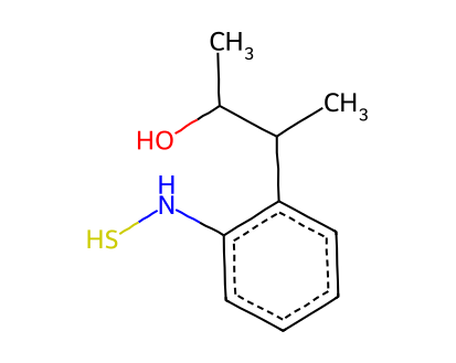 CC(O)C(C)c1ccccc1NS